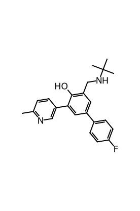 Cc1ccc(-c2cc(-c3ccc(F)cc3)cc(CNC(C)(C)C)c2O)cn1